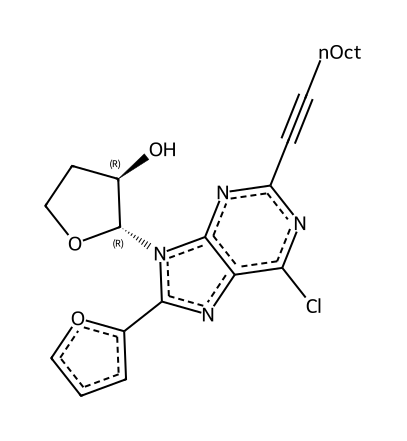 CCCCCCCCC#Cc1nc(Cl)c2nc(-c3ccco3)n([C@@H]3OCC[C@H]3O)c2n1